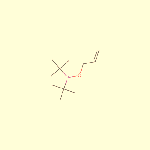 C=CCOP(C(C)(C)C)C(C)(C)C